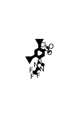 O=S(=O)(Cl)c1cc(-n2cnc(C(F)(F)F)n2)c(C2CC2)cc1C1CC1